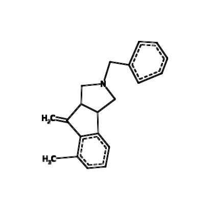 C=C1c2c(C)cccc2C2CN(Cc3ccccc3)CC12